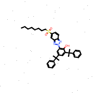 CCCCCCCCS(=O)(=O)c1ccc2nn(-c3cc(C(C)(C)c4ccccc4)cc(C(C)(C)c4ccccc4)c3O)nc2c1